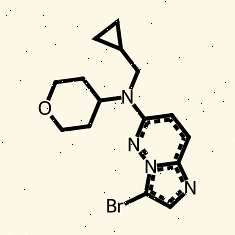 Brc1cnc2ccc(N(CC3CC3)C3CCOCC3)nn12